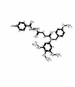 COc1ccc(CN(C(=O)CCC(=O)NNC(=O)c2ccc(F)cc2)c2cc(OC)c(OC)c(OC)c2)cc1